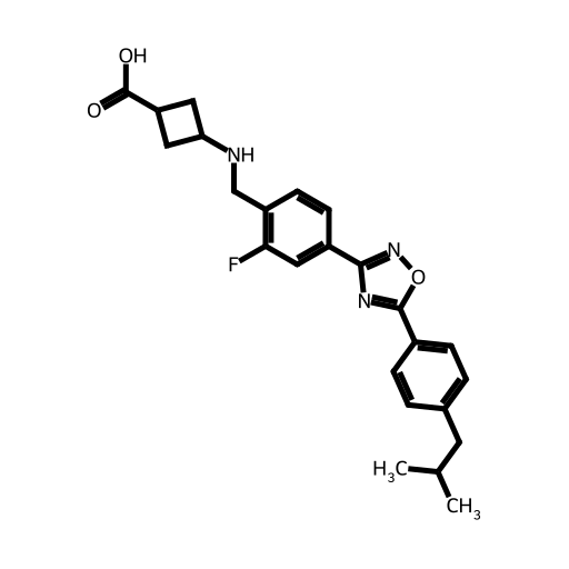 CC(C)Cc1ccc(-c2nc(-c3ccc(CNC4CC(C(=O)O)C4)c(F)c3)no2)cc1